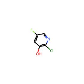 Oc1cc(F)cnc1Cl